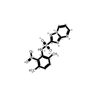 Cc1ccc(C)c([N+](=O)[O-])c1NS(=O)(=O)c1nc2ncccn2n1